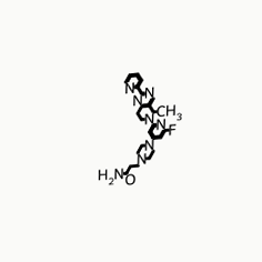 CC1c2cnc(-c3ccccn3)nc2CCN1c1cc(N2CCN(CCC(N)=O)CC2)cc(F)n1